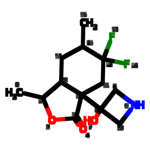 CC1OC(=O)C2(C3(O)CNC3)CC(F)(F)C(C)CC12